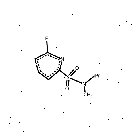 CC(C)N(C)S(=O)(=O)c1cccc(F)n1